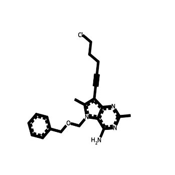 Cc1nc(N)c2c(n1)c(C#CCCCCl)c(C)n2COCc1ccccc1